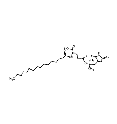 CCCCCCCCCCCCCCCC(=O)N[C@H](CCC(=O)OC(C)(C)CC1CC(=O)NC1=O)C(=O)O